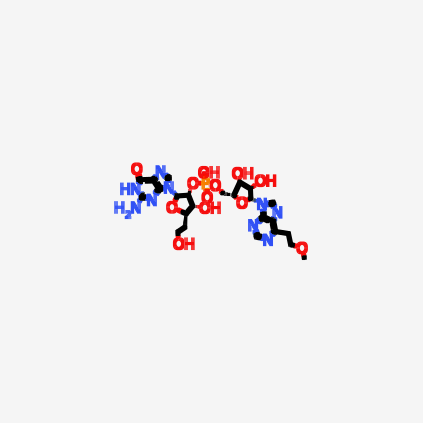 COCCc1ncnc2c1ncn2[C@@H]1O[C@H](COP(=O)(O)O[C@@H]2[C@H](O)[C@@H](CCO)O[C@H]2n2cnc3c(=O)[nH]c(N)nc32)[C@@H](O)[C@H]1O